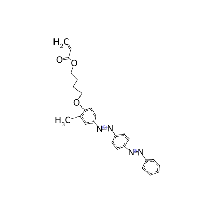 C=CC(=O)OCCCCOc1ccc(/N=N/c2ccc(/N=N/c3ccccc3)cc2)cc1C